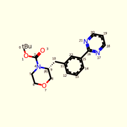 CC(C)(C)OC(=O)N1CCOC[C@H]1Cc1cccc(-c2ncccn2)c1